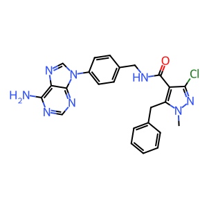 Cn1nc(Cl)c(C(=O)NCc2ccc(-n3cnc4c(N)ncnc43)cc2)c1Cc1ccccc1